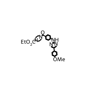 CCOC(=O)N1CCN(C(=O)c2ccc(Nc3ncc(-c4ccc(OC)cc4)cn3)cc2)CC1